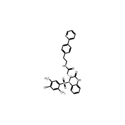 Cc1cc(S(=O)(=O)N2c3ccccc3NC(=O)[C@H]2CC(=O)NCCc2ccc(-c3ccccn3)cc2)c(C)cc1Cl